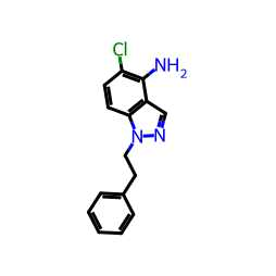 Nc1c(Cl)ccc2c1cnn2CCc1ccccc1